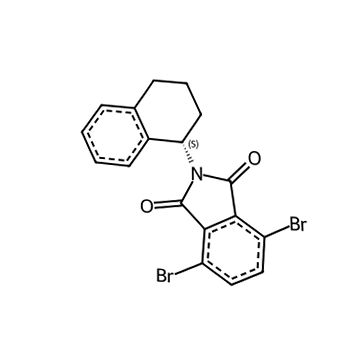 O=C1c2c(Br)ccc(Br)c2C(=O)N1[C@H]1CCCc2ccccc21